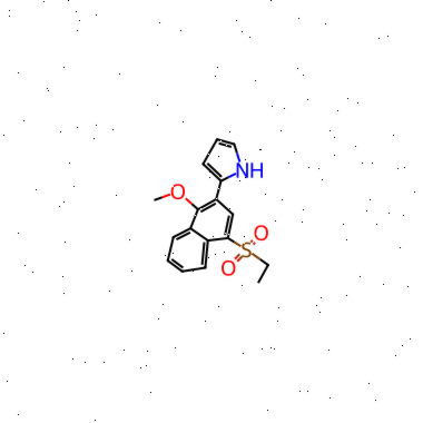 CCS(=O)(=O)c1cc(-c2ccc[nH]2)c(OC)c2ccccc12